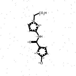 O=C(O)Cn1ccc(NC(=O)c2ccc(Cl)s2)n1